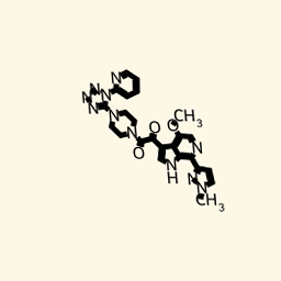 COc1cnc(-c2ccn(C)n2)c2[nH]cc(C(=O)C(=O)N3CCN(c4nnnn4-c4ccccn4)CC3)c12